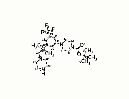 CC(C)(C)OC(=O)N1CCN(c2cc(C(F)(F)F)cc([Si](C)(C)CN3CCNCC3)c2)CC1